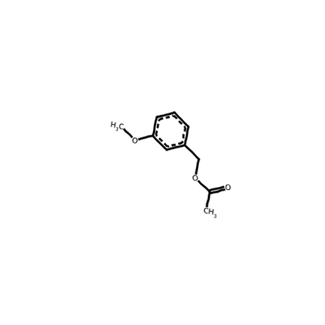 COc1cccc(COC(C)=O)c1